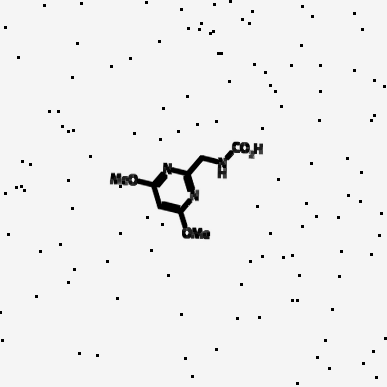 COc1cc(OC)nc(CNC(=O)O)n1